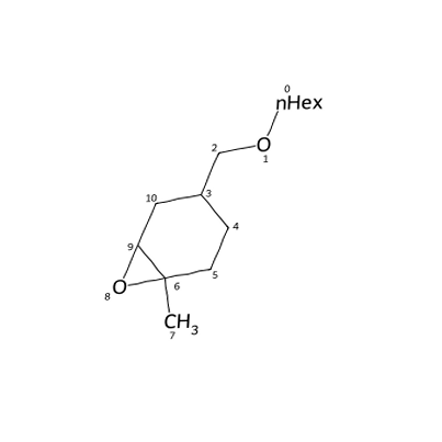 CCCCCCOCC1CCC2(C)OC2C1